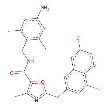 Cc1cc(N)nc(C)c1CNC(=O)c1oc(Cc2cc(F)c3ncc(Cl)cc3c2)nc1C